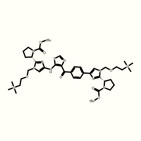 CC(C)(C)OC(=O)N1CCC[C@H]1c1nc(Nc2scnc2C(=O)c2ccc(-c3cn(COCC[Si](C)(C)C)c([C@@H]4CCCN4C(=O)OC(C)(C)C)n3)cc2)cn1COCC[Si](C)(C)C